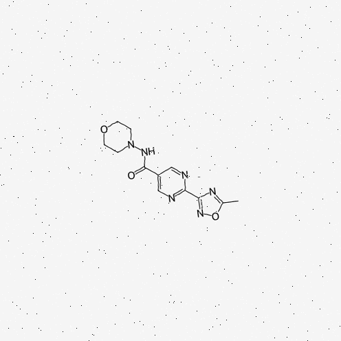 Cc1nc(-c2ncc(C(=O)NN3CCOCC3)cn2)no1